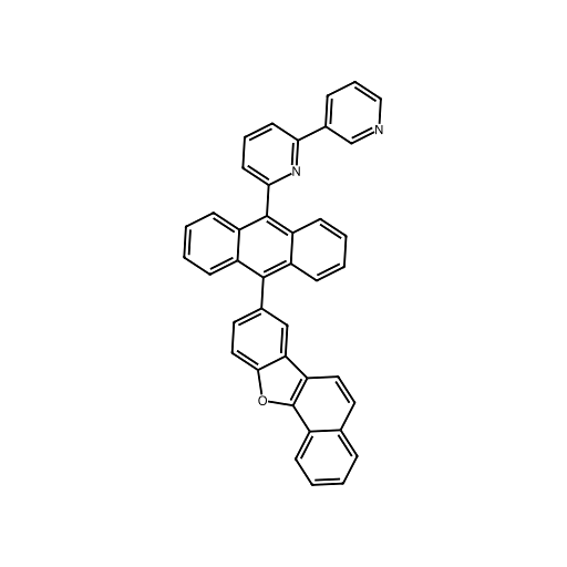 c1cncc(-c2cccc(-c3c4ccccc4c(-c4ccc5oc6c7ccccc7ccc6c5c4)c4ccccc34)n2)c1